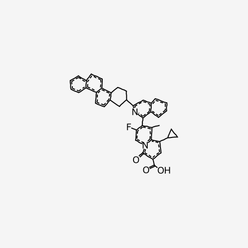 Cc1c(-c2nc(C3CCc4c(ccc5c4ccc4ccccc45)C3)cc3ccccc23)c(F)cn2c(=O)c(C(=O)O)cc(C3CC3)c12